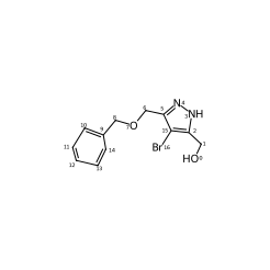 OCc1[nH]nc(COCc2ccccc2)c1Br